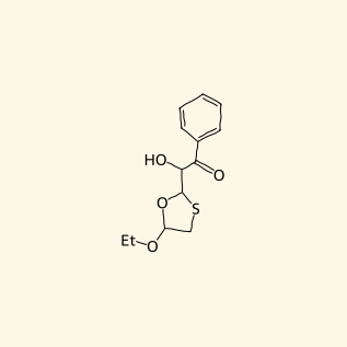 CCOC1CSC(C(O)C(=O)c2ccccc2)O1